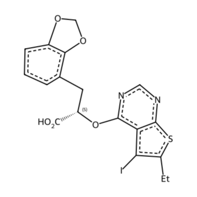 CCc1sc2ncnc(O[C@@H](Cc3cccc4c3OCO4)C(=O)O)c2c1I